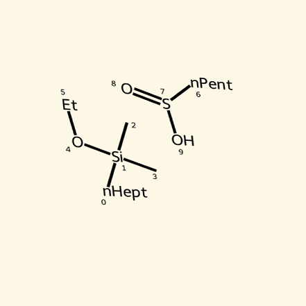 CCCCCCC[Si](C)(C)OCC.CCCCCS(=O)O